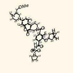 COC[C@H]1CN(c2cc(C)c3c4c(c(=O)oc3c2C)CN(C(=O)c2ccc(C(=O)NS(=O)(=O)N3CCCC3)c(OC3C[C@@H]5C[C@@H]5C3)c2F)CC4)CCN1C